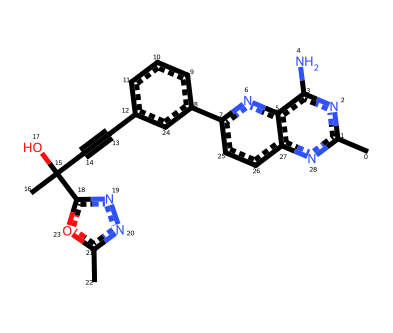 Cc1nc(N)c2nc(-c3cccc(C#CC(C)(O)c4nnc(C)o4)c3)ccc2n1